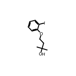 CC(C)(O)CCOc1ccccc1I